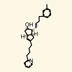 Cc1cccc(CC/C=C/[C@@H]2[C@H]3CC(CCCCc4ccccn4)=C[C@H]3C[C@H]2O)c1